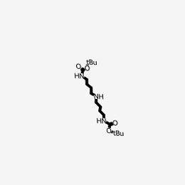 CC(C)(C)OC(=O)NCCCCNCCCCNC(=O)OC(C)(C)C